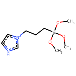 CO[Si](CCC[n+]1cc[nH]c1)(OC)OC